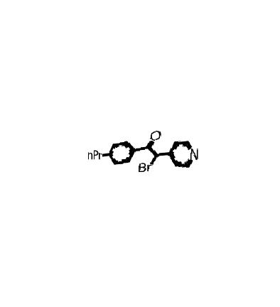 CCCc1ccc(C(=O)C(Br)c2ccncc2)cc1